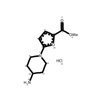 COC(=O)c1ccc(N2CCC(N)CC2)o1.Cl